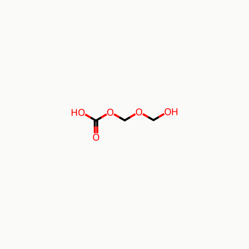 O=C(O)OCOCO